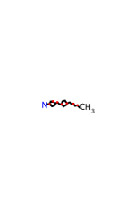 CCCCCC=CC1CCC(CCc2ccc(C#N)cc2)CC1